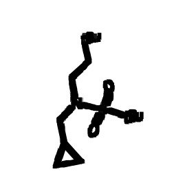 CC(C)(C)CCN(CC1CC1)S(=O)(=O)C(C)(C)C